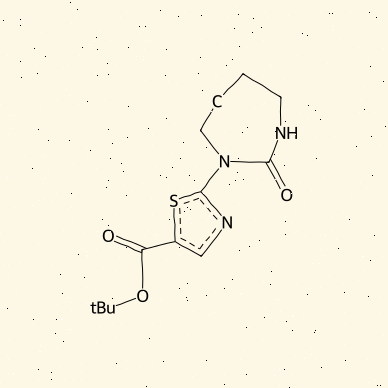 CC(C)(C)OC(=O)c1cnc(N2CCCCNC2=O)s1